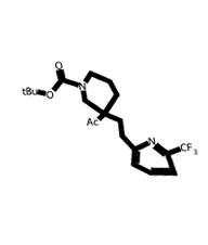 CC(=O)C1(CCc2cccc(C(F)(F)F)n2)CCCN(C(=O)OC(C)(C)C)C1